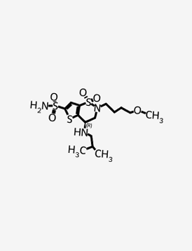 COCCCCN1C[C@@H](NCC(C)C)c2sc(S(N)(=O)=O)cc2S1(=O)=O